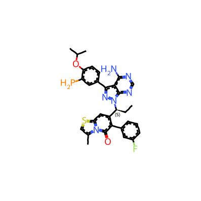 CC[C@@H](c1cc2scc(C)n2c(=O)c1-c1cccc(F)c1)n1nc(-c2ccc(OC(C)C)c(P)c2)c2c(N)ncnc21